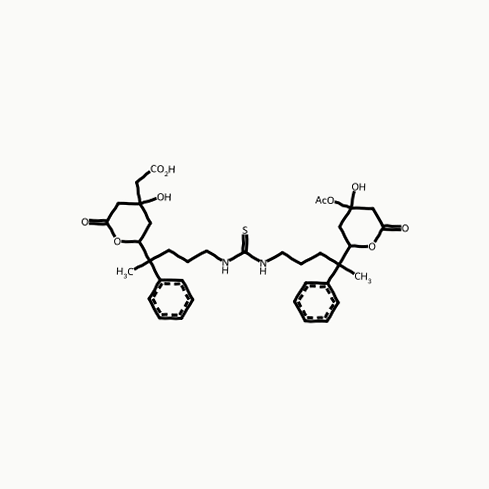 CC(=O)OC1(O)CC(=O)OC(C(C)(CCCNC(=S)NCCCC(C)(c2ccccc2)C2CC(O)(CC(=O)O)CC(=O)O2)c2ccccc2)C1